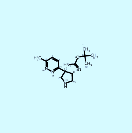 Cc1ccc([C@@]2(NC(=O)OC(C)(C)C)CCNC2)nn1